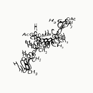 CO[C@H](C(=O)[C@@H](O)[C@@H](C)OC(C)=O)[C@@H]1Cc2cc3cc(OC(C)OC(C)[C@@H](O)CO[C@@H](C)OC(C)[C@@H](O)COC(C)=O)c(C)c(O)c3c(O)c2C(=O)[C@H]1OC(C)OC(C)[C@@H](O)COC(C)OC(C)[C@H](O)COC1OC(C)[C@@H](O)C1(C)O